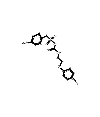 COc1ccc(CS(=O)(=O)NC(=O)NCCOc2ccc(Cl)cc2)cc1